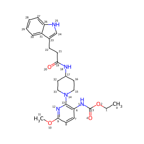 CCOC(=O)Nc1ccc(OC)nc1N1CCC(NC(=O)CCc2c[nH]c3ccccc23)CC1